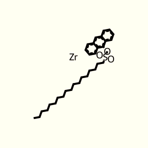 CCCCCCCCCCCCCCCCCCS(=O)(=O)Oc1c2ccccc2cc2ccccc12.[Zr]